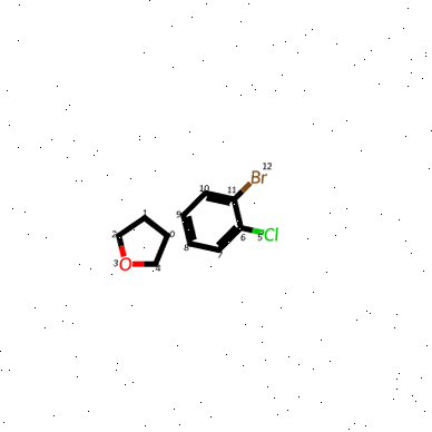 C1CCOC1.Clc1ccccc1Br